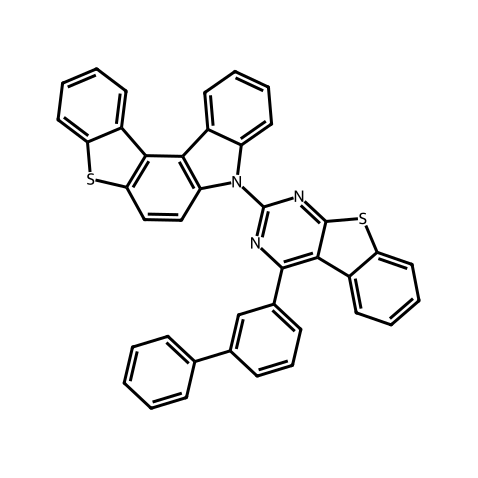 c1ccc(-c2cccc(-c3nc(-n4c5ccccc5c5c6c(ccc54)sc4ccccc46)nc4sc5ccccc5c34)c2)cc1